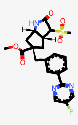 COC(=O)[C@]1(Cc2cccc(-c3ncc(F)cn3)c2)C[C@@H]2NC(=O)C(S(C)(=O)=O)[C@@H]2C1